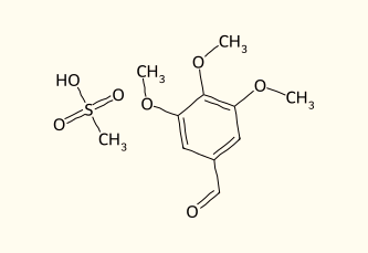 COc1cc(C=O)cc(OC)c1OC.CS(=O)(=O)O